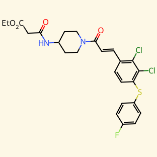 CCOC(=O)CC(=O)NC1CCN(C(=O)C=Cc2ccc(Sc3ccc(F)cc3)c(Cl)c2Cl)CC1